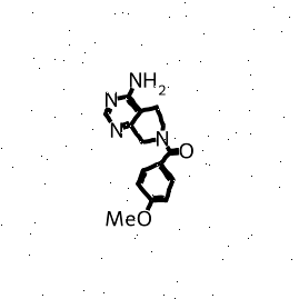 COc1ccc(C(=O)N2CCc3c(N)ncnc3C2)cc1